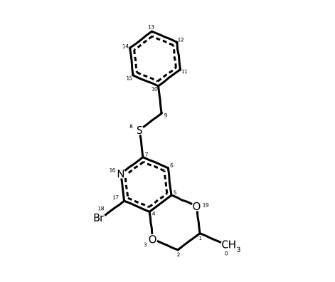 CC1COc2c(cc(SCc3ccccc3)nc2Br)O1